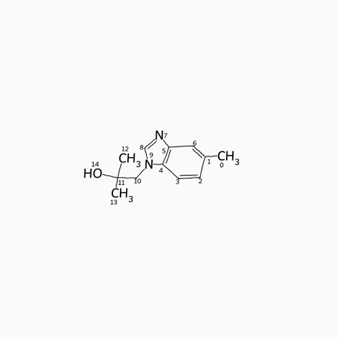 Cc1ccc2c(c1)ncn2CC(C)(C)O